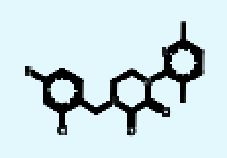 Cc1ccc(C)c(N2CCN(Cc3ccc(F)cc3Cl)C(=O)C2=O)n1